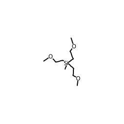 COCC[Si](C)(CCOC)CCOC